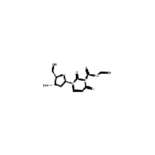 CC(C)CNC(=O)n1c(=O)ccn([C@H]2C[C@H](O)[C@@H](CO)O2)c1=O